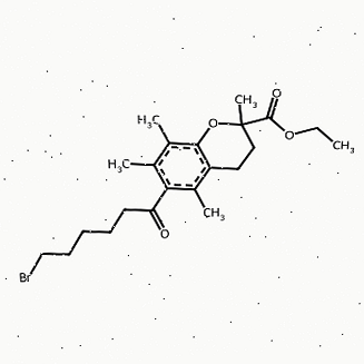 CCOC(=O)C1(C)CCc2c(C)c(C(=O)CCCCCBr)c(C)c(C)c2O1